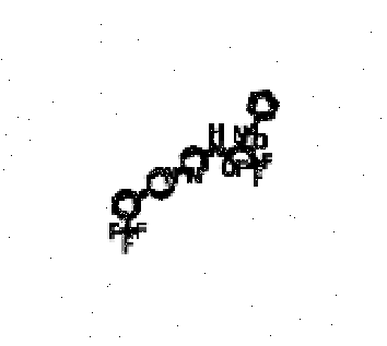 O=C(Nc1ccc(N2CCC(c3cccc(C(F)(F)F)c3)CC2)nc1)c1nc(-c2ccccc2)oc1C(F)(F)F